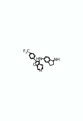 N=C1CCc2cc(Nc3c(-c4ccc(C(F)(F)F)cc4)oc4cnccc34)ccc21